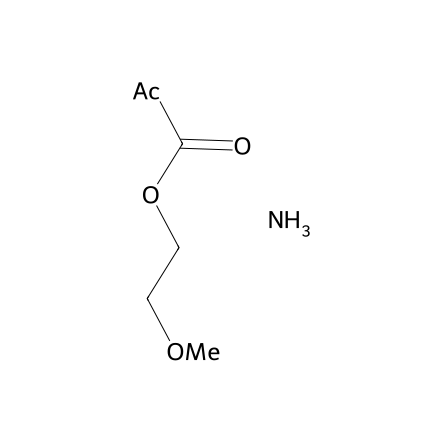 COCCOC(=O)C(C)=O.N